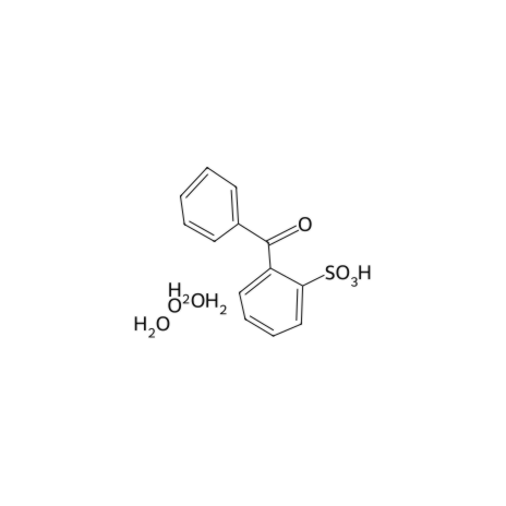 O.O.O.O=C(c1ccccc1)c1ccccc1S(=O)(=O)O